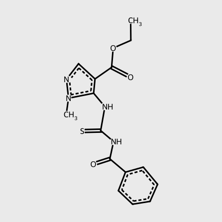 CCOC(=O)c1cnn(C)c1NC(=S)NC(=O)c1ccccc1